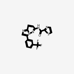 O=C(Nc1ccc2ncc(-c3cccc(C(F)(F)F)c3)n2n1)c1nccs1